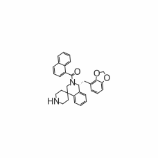 O=C(c1cccc2ccccc12)N1CC2(CCNCC2)c2ccccc2[C@H]1Cc1cccc2c1OCO2